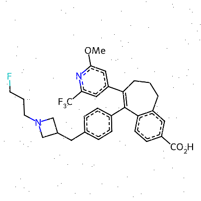 COc1cc(C2=C(c3ccc(CC4CN(CCCF)C4)cc3)c3ccc(C(=O)O)cc3CCC2)cc(C(F)(F)F)n1